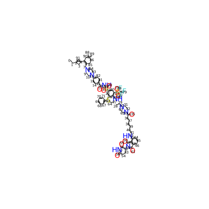 CCC12CC(C3=C(CN4CCN(c5ccc(C(=O)NS(=O)(=O)c6ccc(N[C@H](CCN7CCN(C(=O)CCCCCCNc8cccc9c8C(=O)N(C8CCC(=O)NC8=O)C9=O)CC7)CSc7ccccc7)c(S(=O)(=O)C(F)(F)F)c6)cc5)CC4)CCC(C)(C)C3)(C1)C2